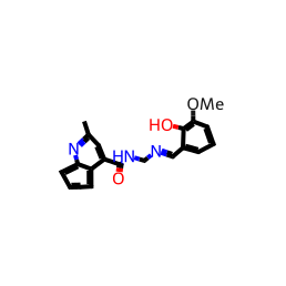 COc1cccc(/C=N/CNC(=O)c2cc(C)nc3ccccc23)c1O